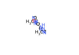 COc1ncccc1Cn1nnc2cc(-c3ccnc(Nc4ccnn4C)n3)ccc21